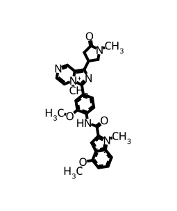 COc1cc(C2=NC(C3CC(=O)N(C)C3)=C3C=NC=C[N+]23C)ccc1NC(=O)c1cc2c(OC)cccc2n1C